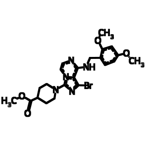 COC(=O)C1CCN(c2nc(Br)c3c(NCc4ccc(OC)cc4OC)nccn23)CC1